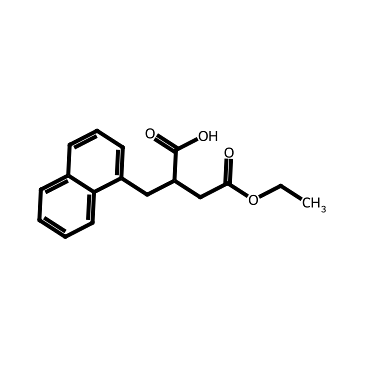 CCOC(=O)CC(Cc1cccc2ccccc12)C(=O)O